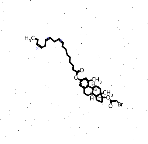 CC/C=C\C/C=C\C/C=C\CCCCCCCC(=O)Oc1cc(C)c2c(c1)CC[C@@H]1[C@@H]2CC[C@]2(C)[C@@H](OC(=O)CBr)CC[C@@H]12